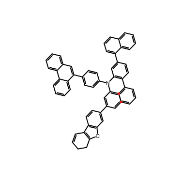 C1=Cc2c(oc3cc(-c4cccc(N(c5ccc(-c6cc7ccccc7c7ccccc67)cc5)c5cc(-c6cccc7ccccc67)ccc5-c5ccccc5)c4)ccc23)CC1